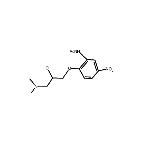 CC(=O)Nc1cc([N+](=O)[O-])ccc1OCC(O)CN(C)C